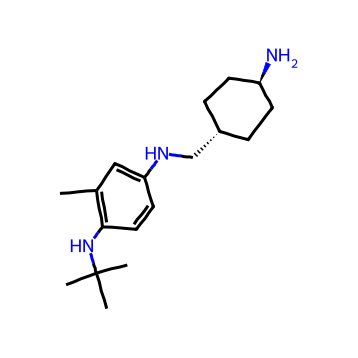 Cc1cc(NC[C@H]2CC[C@H](N)CC2)ccc1NC(C)(C)C